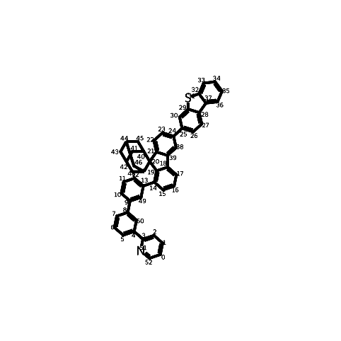 c1ccc(-c2cccc(-c3cccc(-c4cccc5c4C4(c6ccc(-c7ccc8c(c7)sc7ccccc78)cc6-5)C5CC6CC(C5)CC4C6)c3)c2)nc1